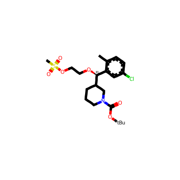 Cc1ccc(Cl)cc1[C@H](OCCOS(C)(=O)=O)C1CCCN(C(=O)OC(C)(C)C)C1